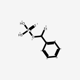 CCC(OP(O)(=S)S)c1ccccc1